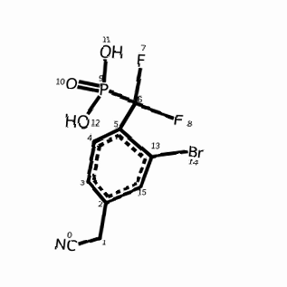 N#CCc1ccc(C(F)(F)P(=O)(O)O)c(Br)c1